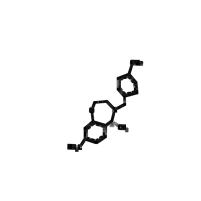 COc1ccc(CN2CCOc3cc(C(=O)O)ccc3[C@H]2C)cc1